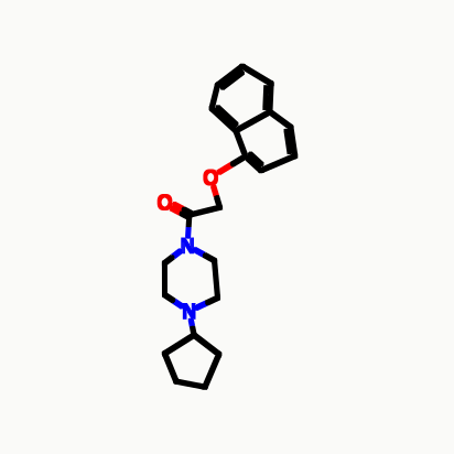 O=C(COc1cccc2ccccc12)N1CCN(C2CCCC2)CC1